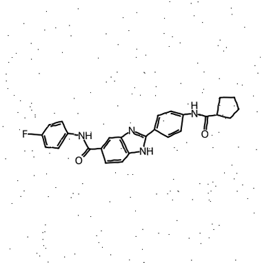 O=C(Nc1ccc(F)cc1)c1ccc2[nH]c(-c3ccc(NC(=O)C4CCCC4)cc3)nc2c1